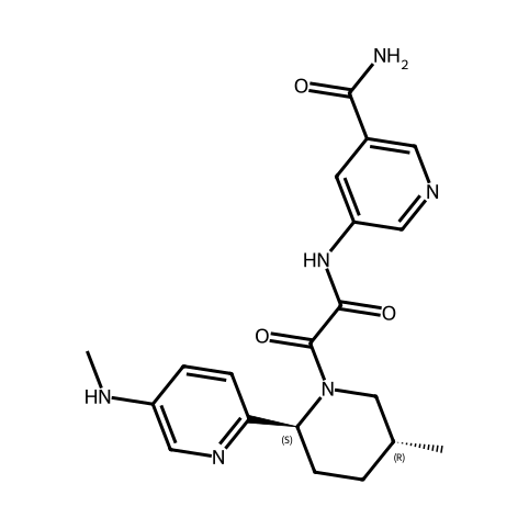 CNc1ccc([C@@H]2CC[C@@H](C)CN2C(=O)C(=O)Nc2cncc(C(N)=O)c2)nc1